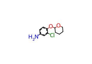 Nc1ccc(OC2CCCCO2)c(Cl)c1